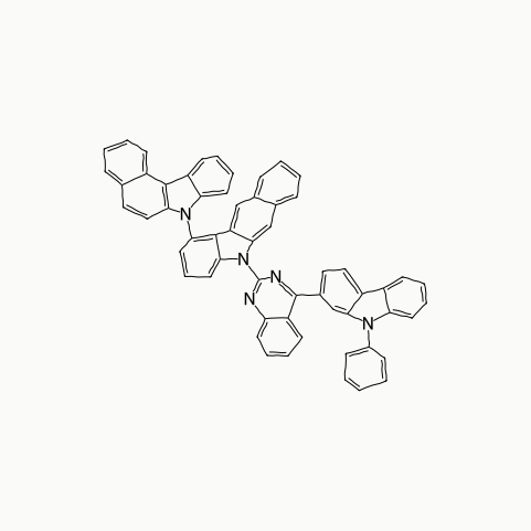 c1ccc(-n2c3ccccc3c3ccc(-c4nc(-n5c6cc7ccccc7cc6c6c(-n7c8ccccc8c8c9ccccc9ccc87)cccc65)nc5ccccc45)cc32)cc1